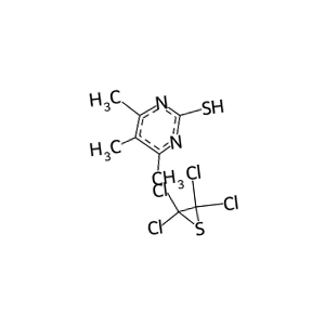 Cc1nc(S)nc(C)c1C.ClC1(Cl)SC1(Cl)Cl